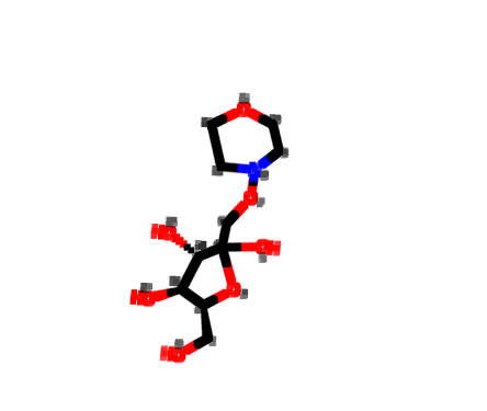 OC[C@@H]1OC(O)(CON2CCOCC2)[C@@H](O)[C@@H]1O